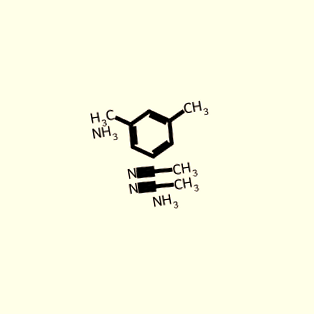 CC#N.CC#N.Cc1cccc(C)c1.N.N